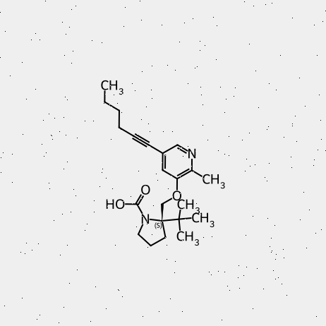 CCCCC#Cc1cnc(C)c(OC[C@@]2(C(C)(C)C)CCCN2C(=O)O)c1